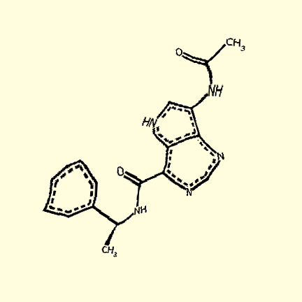 CC(=O)Nc1c[nH]c2c(C(=O)N[C@@H](C)c3ccccc3)ncnc12